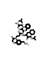 CC(C)C[C@H](NC(=O)[C@H](Cc1ccccc1)N(NC(CC1CCCCC1)C(=O)C(=O)OC(C)C)C(=O)CCN1C(=O)COc2ccc(CN)cc21)C(=O)O